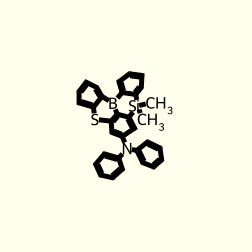 C[Si]1(C)c2ccccc2B2c3ccccc3Sc3cc(N(c4ccccc4)c4ccccc4)cc1c32